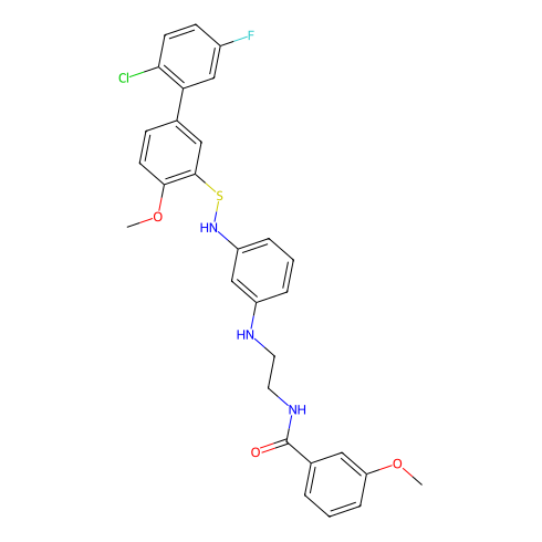 COc1cccc(C(=O)NCCNc2cccc(NSc3cc(-c4cc(F)ccc4Cl)ccc3OC)c2)c1